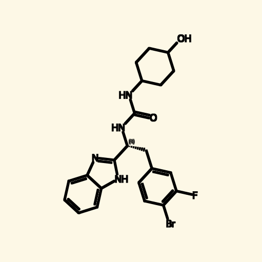 O=C(NC1CCC(O)CC1)N[C@H](Cc1ccc(Br)c(F)c1)c1nc2ccccc2[nH]1